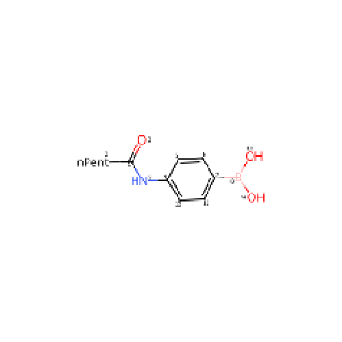 CCCCCC(=O)Nc1ccc(B(O)O)cc1